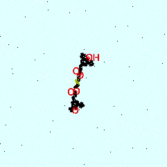 CC(C)(C)c1cc(CCC(=O)OCCSCCOC(=O)CCc2cc(C(C)(C)C)c3c(c2)C(C)(C)O3)cc(C(C)(C)C)c1O